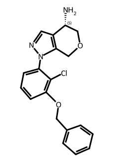 N[C@@H]1COCc2c1cnn2-c1cccc(OCc2ccccc2)c1Cl